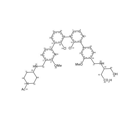 COc1cc(-c2nccc(-c3cccc(-c4ccc(CNC5CCN(C(C)=O)CC5)c(OC)n4)c3Cl)c2Cl)ccc1CNC(CO)CC(=O)O